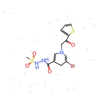 CS(=O)(=O)NNC(=O)C1=CN(CC(=O)c2cccs2)C=C(Br)C1